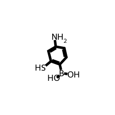 Nc1ccc(B(O)O)c(S)c1